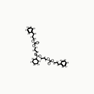 O=C(OCCCOP(OCCCOC(=O)OCCCc1ccccc1)C1CCCCC1)OCCCc1ccccc1